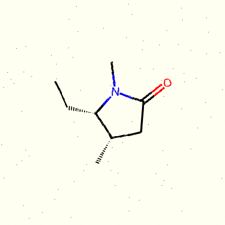 CC[C@H]1[C@@H](C)CC(=O)N1C